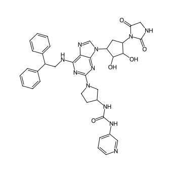 O=C(Nc1cccnc1)NC1CCN(c2nc(NCC(c3ccccc3)c3ccccc3)c3ncn(C4CC(N5C(=O)CNC5=O)C(O)C4O)c3n2)C1